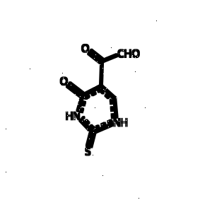 O=CC(=O)c1c[nH]c(=S)[nH]c1=O